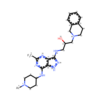 CC(=O)N1CCC(Nc2nc(C(F)(F)F)nc3c(NCC(O)CN4CCc5ccccc5C4)n[nH]c23)CC1